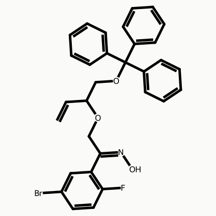 C=CC(COC(c1ccccc1)(c1ccccc1)c1ccccc1)OCC(=NO)c1cc(Br)ccc1F